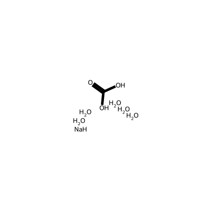 O.O.O.O.O.O=C(O)O.[NaH]